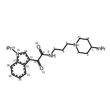 CCCC1CCN(CCCNC(=O)C(=O)c2cn(C(C)C)c3ccccc23)CC1